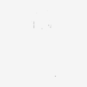 Cc1cc(COc2ccc(C(=O)NC3(CC(=O)NO)CCCOC3)cc2)c2ccccc2n1